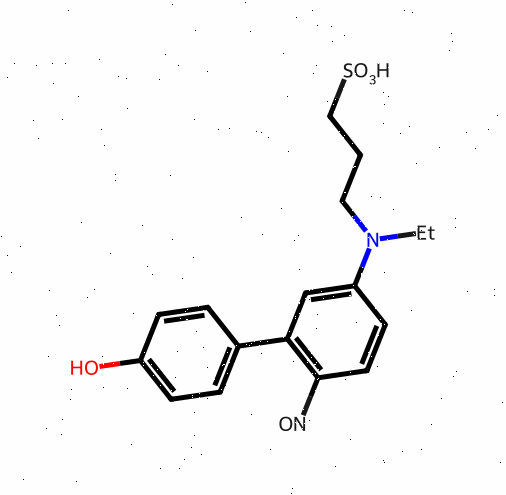 CCN(CCCS(=O)(=O)O)c1ccc(N=O)c(-c2ccc(O)cc2)c1